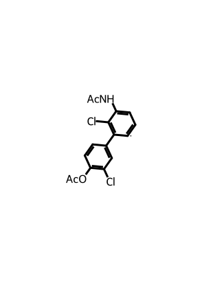 CC(=O)Nc1cc[c]c(-c2ccc(OC(C)=O)c(Cl)c2)c1Cl